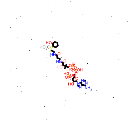 CC(C)(COP(=O)(O)OP(=O)(O)OC[C@H]1O[C@@H](n2cnc3c(N)ncnc32)[C@H](O)[C@@H]1OP(=O)(O)O)C(O)C(=O)NCCC(=O)NCC[SH](C(=O)O)C1CCCCC1O